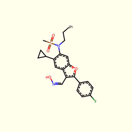 CC(C)CCN(c1cc2oc(-c3ccc(F)cc3)c(/C=N\O)c2cc1C1CC1)S(C)(=O)=O